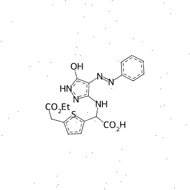 CCOC(=O)Cc1ccc(C(Nc2n[nH]c(O)c2/N=N/c2ccccc2)C(=O)O)s1